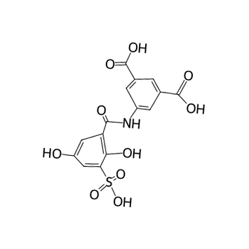 O=C(O)c1cc(NC(=O)c2cc(O)cc(S(=O)(=O)O)c2O)cc(C(=O)O)c1